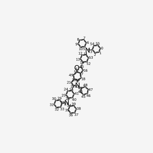 c1ccc(N(c2ccccc2)c2ccc(-c3cc4cc5c(cc(-c6ccc(N(c7ccccc7)c7ccccc7)cc6)n5-c5ccccc5)cc4o3)cc2)cc1